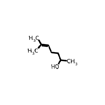 C[C](O)CCC=C(C)C